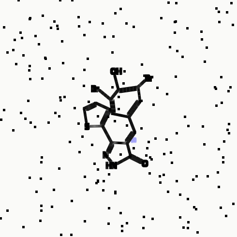 O=C1NN=C(c2cccs2)/C1=C\c1cc(Br)c(O)c(Br)c1